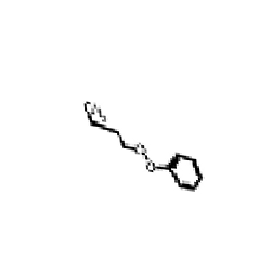 CCCCOOc1ccccc1